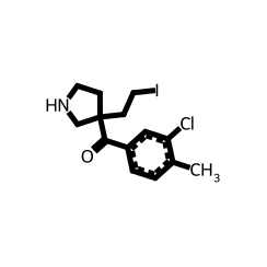 Cc1ccc(C(=O)C2(CCI)CCNC2)cc1Cl